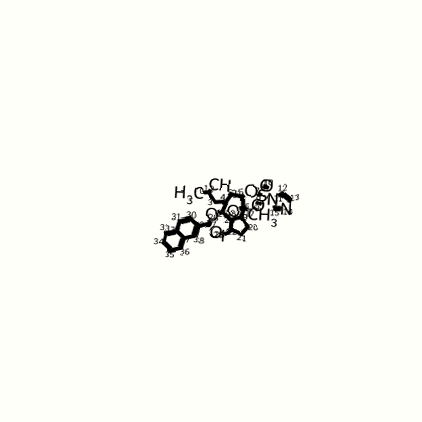 CC(C)CC12CC(OS(=O)(=O)n3ccnc3)C(C)(O1)C1CCC(I)C1C2OC(=O)c1ccc2ccccc2c1